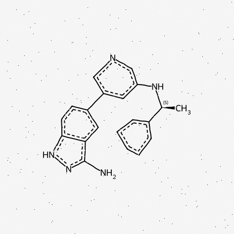 C[C@H](Nc1cncc(-c2ccc3[nH]nc(N)c3c2)c1)c1ccccc1